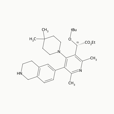 CCOC(=O)[C@@H](OC(C)(C)C)c1c(C)nc(C)c(-c2ccc3c(c2)CCNC3)c1N1CCC(C)(C)CC1